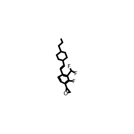 CCCC1CCC(/C=C/c2ccc(C3CO3)c(F)c2C(F)F)CC1